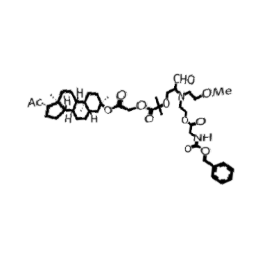 COCCN(CCOC(=O)CNC(=O)OCc1ccccc1)C(C=O)COC(C)(C)C(=O)OCC(=O)O[C@]1(C)CC[C@@]2(C)[C@@H](CC[C@@H]3[C@@H]2CC[C@]2(C)[C@@H](C(C)=O)CC[C@@H]32)C1